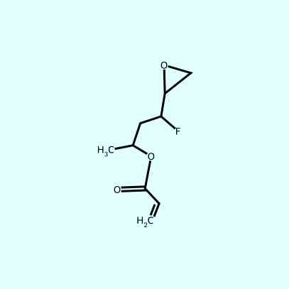 C=CC(=O)OC(C)CC(F)C1CO1